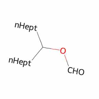 CCCCCCCC(CCCCCCC)OC=O